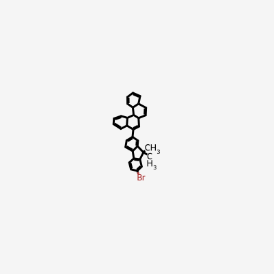 CC1(C)c2cc(Br)ccc2-c2ccc(C3=CC4C=CC5C=CC=CC5C4C4C=CC=CC34)cc21